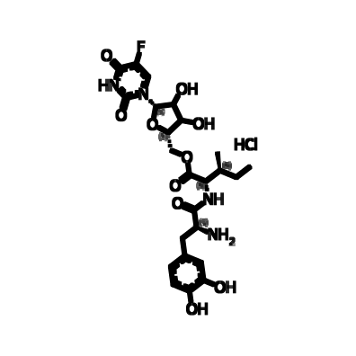 CC[C@H](C)[C@H](NC(=O)[C@@H](N)Cc1ccc(O)c(O)c1)C(=O)OC[C@@H]1O[C@H](n2cc(F)c(=O)[nH]c2=O)C(O)C1O.Cl